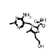 CC1=C(CCO)SC(S(=O)(=O)O)N1Cc1cnc(C)nc1N